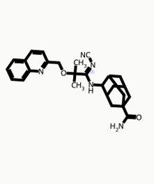 CC(C)(OCc1ccc2ccccc2n1)/C(=N\C#N)NC1C2CC3CC1CC(C(N)=O)(C3)C2